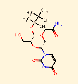 CC(C)(C)[Si](C)(C)OC[C@@H](CO)O[C@H](COCC(N)=O)n1ccc(=O)[nH]c1=O